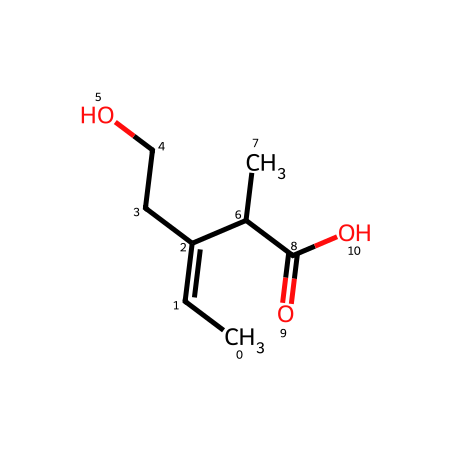 CC=C(CCO)C(C)C(=O)O